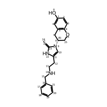 Oc1ccc2c(c1)C[C@@H](n1cc(CCNCc3ccccc3)[nH]c1=S)CO2